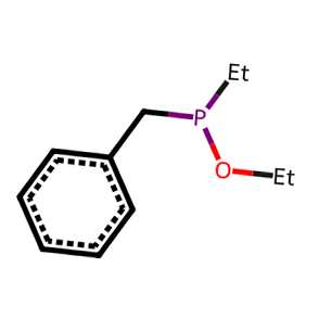 CCOP(CC)Cc1ccccc1